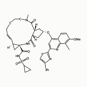 COc1ccc2c(O[C@@H]3C[C@@H]4C(=O)N[C@]5(C(=O)NS(=O)(=O)C6CC6)C[C@H]5/C=C/CCCCN(C)C(=O)[C@@H]4C3)cc(-c3nc(C(C)C)cs3)nc2c1C